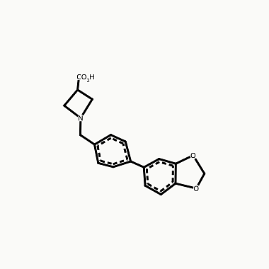 O=C(O)C1CN(Cc2ccc(-c3ccc4c(c3)OCO4)cc2)C1